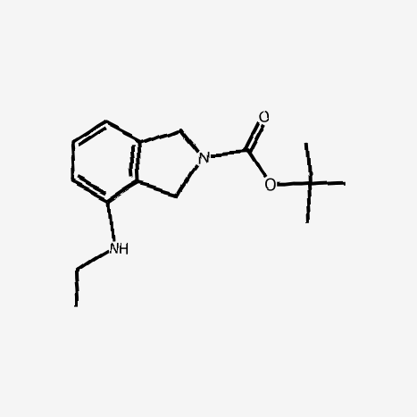 CCNc1cccc2c1CN(C(=O)OC(C)(C)C)C2